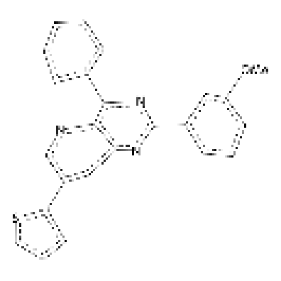 COc1cccc(-c2nc(-c3ccccc3)c3ncc(-c4cccs4)cc3n2)c1